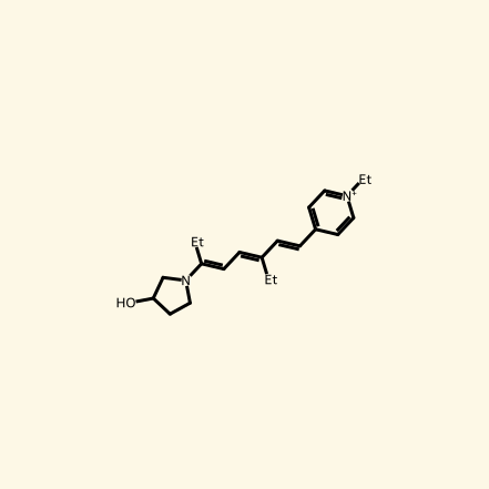 CCC(/C=C/c1cc[n+](CC)cc1)=C\C=C(/CC)N1CCC(O)C1